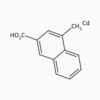 Cc1cc(C(=O)O)cc2ccccc12.[Cd]